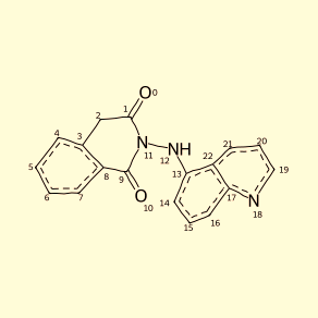 O=C1Cc2ccccc2C(=O)N1Nc1cccc2ncccc12